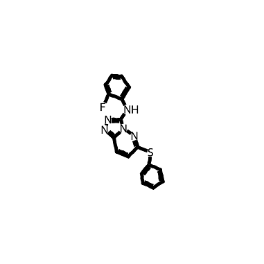 Fc1ccccc1Nc1nnc2ccc(Sc3ccccc3)nn12